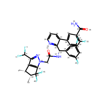 C[C@@H]1c2c(C(F)F)nn(CC(=O)N[C@@H](c3cc(F)cc(F)c3)c3ncccc3-c3ccc(F)c(C(N)=O)c3)c2C(F)(F)[C@@H]1C